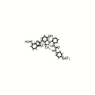 CC1(C)CN(c2ccccc2NC(=O)Nc2ccc(OC(F)(F)F)cc2)c2c(O)ccc(-c3nc4c(CO)cccc4o3)c21